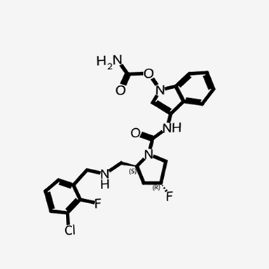 NC(=O)On1cc(NC(=O)N2C[C@H](F)C[C@H]2CNCc2cccc(Cl)c2F)c2ccccc21